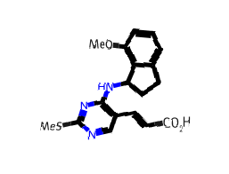 COc1cccc2c1C(Nc1nc(SC)ncc1C=CC(=O)O)CC2